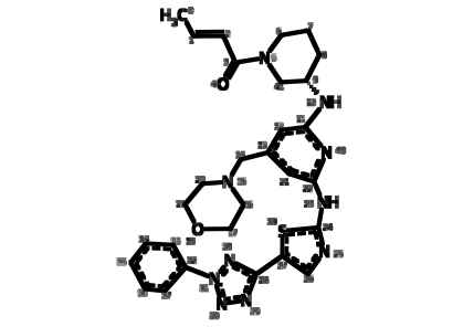 CC=CC(=O)N1CCC[C@H](Nc2cc(CN3CCOCC3)cc(Nc3ncc(-c4nnn(-c5ccccc5)n4)s3)n2)C1